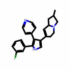 CC1CC2C=C(c3c[nH]c(-c4cccc(F)c4)c3-c3ccncc3)CCN2C1